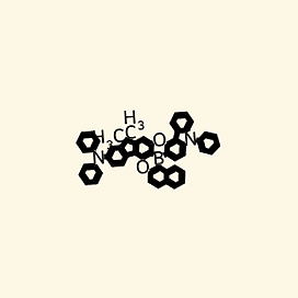 CC1(C)c2cc(N(c3ccccc3)c3ccccc3)ccc2-c2c1cc1c3c2Oc2ccc4ccccc4c2B3c2ccc3c(c2O1)c1ccccc1n3-c1ccccc1